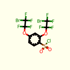 O=S(=O)(Cl)c1ccc(OC(F)(F)C(F)(F)Br)cc1OC(F)(F)C(F)(F)Br